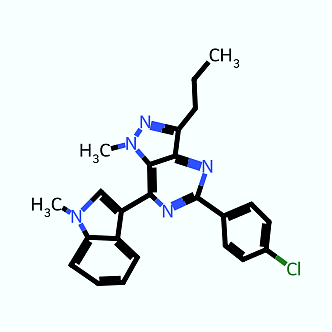 CCCc1nn(C)c2c(-c3cn(C)c4ccccc34)nc(-c3ccc(Cl)cc3)nc12